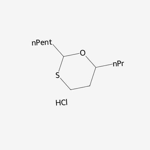 CCCCCC1OC(CCC)CCS1.Cl